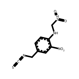 O=[N+]([O-])c1cc(CN=C=S)ccc1NC[SH](=O)=O